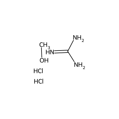 CO.Cl.Cl.N=C(N)N